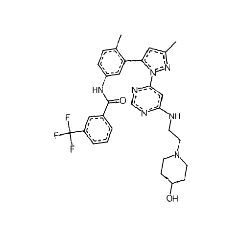 Cc1cc(-c2cc(NC(=O)c3cccc(C(F)(F)F)c3)ccc2C)n(-c2cc(NCCN3CCC(O)CC3)ncn2)n1